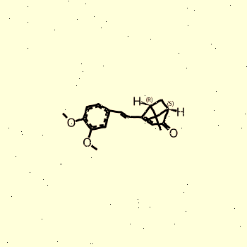 COc1ccc(C=CC2=CC(=O)[C@H]3C[C@@H]2C3(C)C)cc1OC